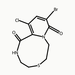 O=C1NCCSCCn2c1c(Cl)cc(Br)c2=O